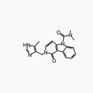 Cc1[nH]cnc1Cn1ccc2c(c1=O)c1ccccc1n2C(=O)N(C)C